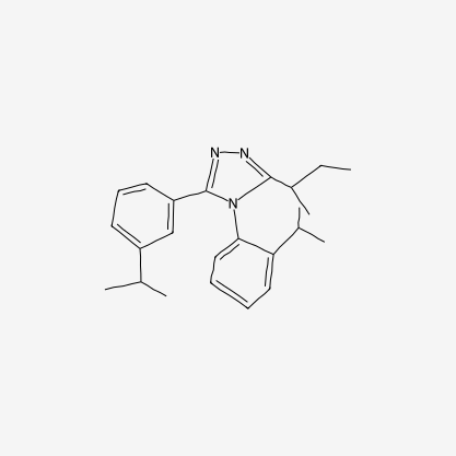 CCC(C)c1nnc(-c2cccc(C(C)C)c2)n1-c1ccccc1C(C)C